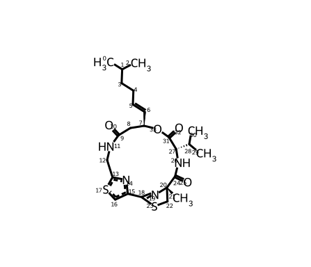 CC(C)CC/C=C/[C@@H]1CC(=O)NCc2nc(cs2)C2=N[C@@](C)(CS2)C(=O)N[C@@H](C(C)C)C(=O)O1